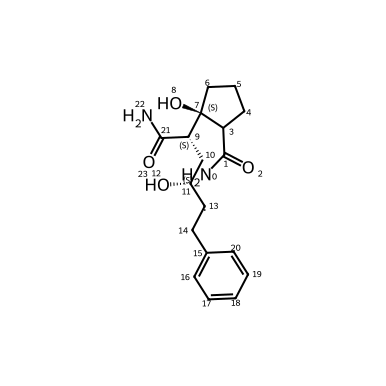 NC(=O)C1CCC[C@@]1(O)[C@H](C[C@@H](O)[CH]Cc1ccccc1)C(N)=O